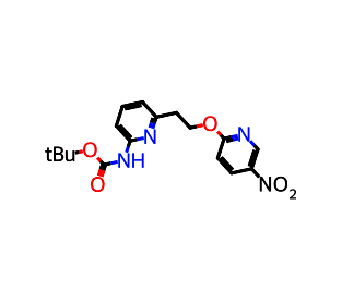 CC(C)(C)OC(=O)Nc1cccc(CCOc2ccc([N+](=O)[O-])cn2)n1